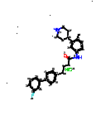 Cc1ccc(NC(=O)CCCc2ccc(-c3cccc(F)c3)cc2)cc1C1CCNCC1.Cl